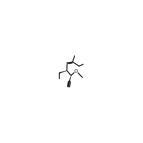 C#C[C@H](OC)[C@H](/C=C(/C)CC)CC